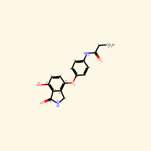 O=C(O)CC(=O)Nc1ccc(Oc2ccc(O)c3c2CNC3=O)cc1